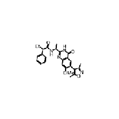 CCC(C(=O)NC(C)c1nc2cc(OC)c(-c3c(C)noc3C)cc2c(=O)[nH]1)c1ccccc1